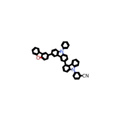 N#Cc1cccc(-n2c3ccccc3c3c(-c4ccc5c(c4)c4cc(-c6ccc7oc8ccccc8c7c6)ccc4n5-c4ccccc4)cccc32)c1